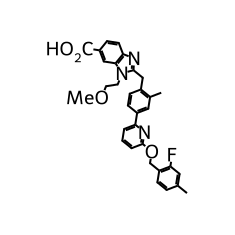 COCCn1c(Cc2ccc(-c3cccc(OCc4ccc(C)cc4F)n3)cc2C)nc2ccc(C(=O)O)cc21